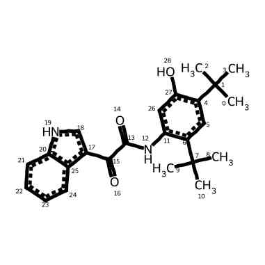 CC(C)(C)c1cc(C(C)(C)C)c(NC(=O)C(=O)c2c[nH]c3ccccc23)cc1O